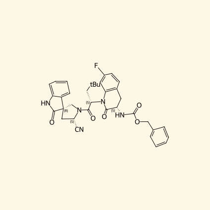 CC(C)(C)C[C@@H](C(=O)N1C[C@]2(C[C@H]1C#N)C(=O)Nc1ccccc12)N1C(=O)[C@@H](NC(=O)OCc2ccccc2)Cc2ccc(F)cc21